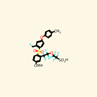 COc1ccc(S(=O)(=O)c2ccc(Oc3ccc(C)cc3)cc2CF)c(C(F)(F)C(F)(F)OC(F)(F)C(F)(F)S(=O)(=O)O)c1